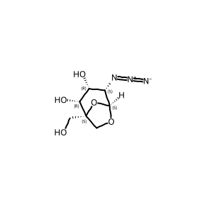 [N-]=[N+]=N[C@@H]1[C@H]2OC[C@](CO)(O2)[C@H](O)[C@@H]1O